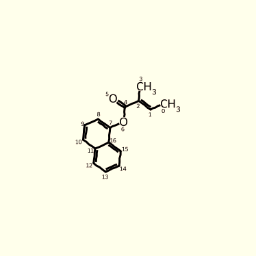 CC=C(C)C(=O)Oc1cccc2ccccc12